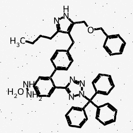 CCCCc1n[nH]c(COCc2ccccc2)c1Cc1ccc(-c2ccccc2-c2nnn(C(c3ccccc3)(c3ccccc3)c3ccccc3)n2)cc1.NN.O